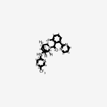 O=C(c1c(F)cccc1-c1ncccn1)N1C[C@@H]2CC[C@H]1[C@H](Nc1cnc(C(F)(F)F)cn1)C2